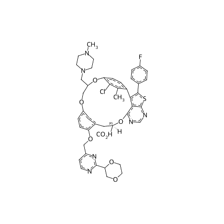 Cc1c2ccc(c1Cl)OC(CN1CCN(C)CC1)COc1ccc(OCc3ccnc(C4COCCO4)n3)c(c1)C[C@H](C(=O)O)Oc1ncnc3sc(-c4ccc(F)cc4)c-2c13